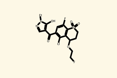 CCn1ncc(C(=O)c2cc(F)c3c(c2Cl)C(OCCF)CCS3(=O)=O)c1O